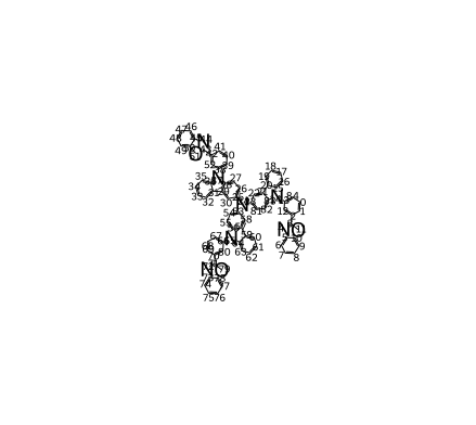 c1cc(-c2nc3ccccc3o2)cc(-n2c3ccccc3c3cc(N(c4ccc5c(c4)c4ccccc4n5-c4cccc(-c5nc6ccccc6o5)c4)c4ccc5c(c4)c4ccccc4n5-c4cccc(-c5nc6ccccc6o5)c4)ccc32)c1